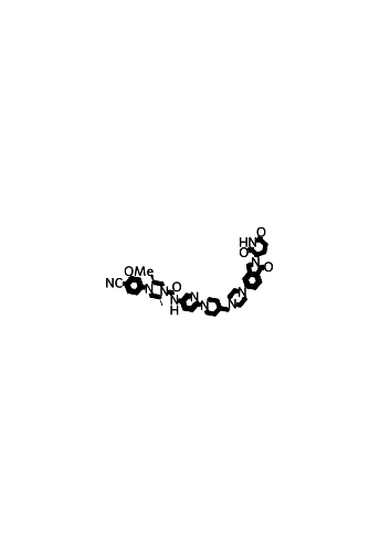 COc1cc(N2C[C@@H](C)N(C(=O)Nc3ccc(N4CCC(CN5CCN(c6ccc7c(c6)CN(C6CCC(=O)NC6=O)C7=O)CC5)CC4)nc3)C[C@@H]2C)ccc1C#N